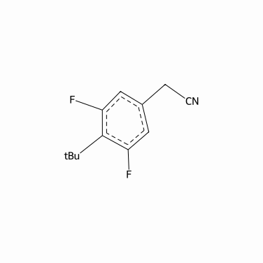 CC(C)(C)c1c(F)cc(CC#N)cc1F